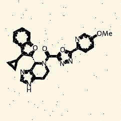 COc1ccc(-c2nnc(C(=O)N3CCc4[nH]cnc4[C@@H]3c3oc4ccccc4c3C3CC3)o2)nc1